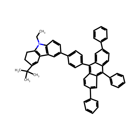 CCn1c2c(c3cc(-c4ccc(-c5c6ccc(-c7ccccc7)cc6c(-c6ccccc6)c6ccc(-c7ccccc7)cc56)cc4)ccc31)C=C(C(C)(C)C)CC2